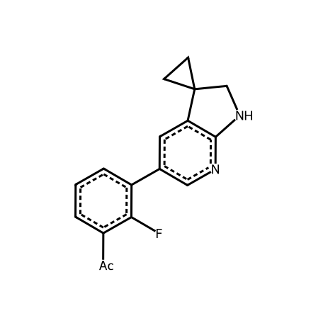 CC(=O)c1cccc(-c2cnc3c(c2)C2(CC2)CN3)c1F